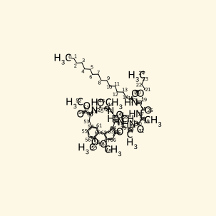 CCCCCCCCCCCCCCCC(=O)N[C@H](COCCCC)C(=O)N[C@H](C)C(=O)N[C@@H](C)C(=O)N(C)[C@@H]1C(=O)N[C@@H](C)C(=O)N[C@H](C(=O)OC)Cc2ccc(OC)c(c2)-c2cc1ccc2OC